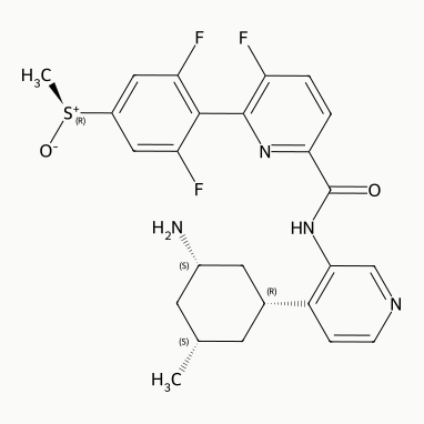 C[C@@H]1C[C@H](N)C[C@H](c2ccncc2NC(=O)c2ccc(F)c(-c3c(F)cc([S@+](C)[O-])cc3F)n2)C1